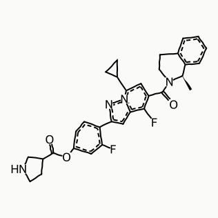 C[C@@H]1c2ccccc2CCN1C(=O)c1cc(C2CC2)n2nc(-c3ccc(OC(=O)C4CCNC4)cc3F)cc2c1F